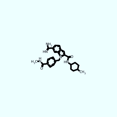 CNC(=O)c1ccc(Cn2c(C(=O)NC3CCC(C)CC3)cc3ccc(C(=N)N)cc32)cc1